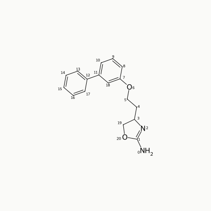 NC1=NC(CCOc2cccc(-c3ccccc3)c2)CO1